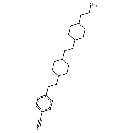 CCCC1CCC(CCC2CCC(CCc3ccc(C#N)cc3)CC2)CC1